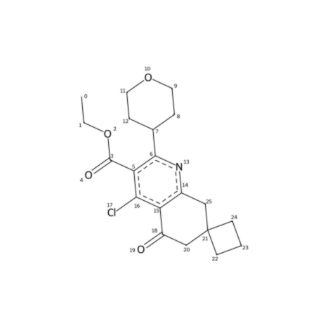 CCOC(=O)c1c(C2CCOCC2)nc2c(c1Cl)C(=O)CC1(CCC1)C2